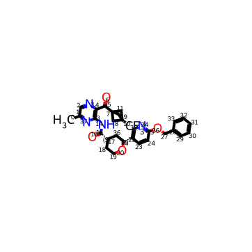 Cc1cnc(C(=O)C23CC(C(F)(F)F)(C2)C3)c(NC(=O)[C@H]2CCO[C@@H](c3ccc(OCc4ccccc4)nc3)C2)n1